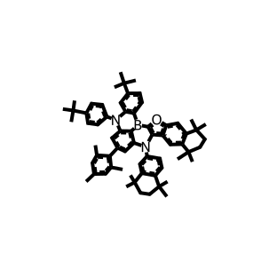 Cc1cc(C)c(-c2cc3c4c(c2)N(c2ccc5c(c2)C(C)(C)CCC5(C)C)c2c(oc5cc6c(cc25)C(C)(C)CCC6(C)C)B4c2ccc(C(C)(C)C)cc2N3c2ccc(C(C)(C)C)cc2)c(C)c1